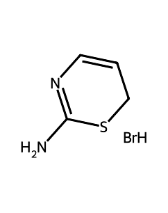 Br.NC1=NC=CCS1